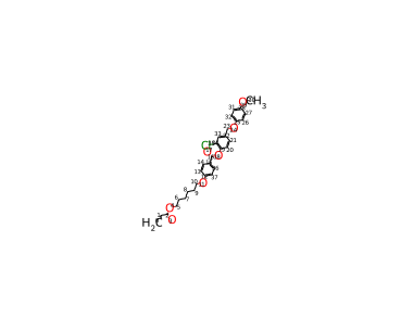 C=CC(=O)OCCCCCCOc1ccc(C(=O)Oc2ccc(COc3ccc(OC)cc3)cc2Cl)cc1